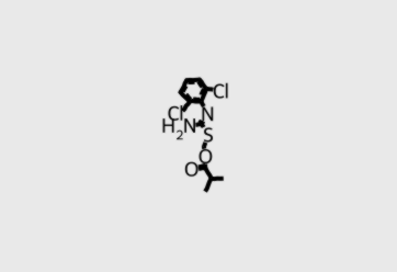 CC(C)C(=O)OCS/C(N)=N/c1c(Cl)cccc1Cl